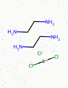 NCCN.NCCN.[Cl-].[Cl][Ir+][Cl]